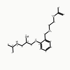 C=C(C)OCCOCc1ccccc1OCC(O)CNC(C)C